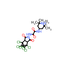 CC1(C)CC(NC(=O)C(=O)NN2C(=O)C3C(C2=O)C2(Cl)C(Cl)=C(Cl)C3(Cl)C2(Cl)Cl)CC(C)(C)N1